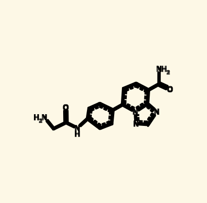 NCC(=O)Nc1ccc(-c2ccc(C(N)=O)c3n[c]nn23)cc1